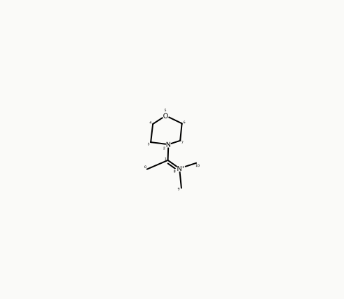 CC(N1CCOCC1)=[N+](C)C